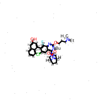 CCN(C)CCCOc1nc(N2C[C@H]3CC[C@@H](C2)N3C(=O)OC(C)(C)C)c2cc(Cl)c(-c3cc(O)cc4ccccc34)c(F)c2n1